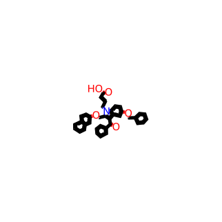 O=C(O)/C=C/Cn1c(COc2ccc3ccccc3c2)c(C(=O)c2ccccc2)c2cc(OCc3ccccc3)ccc21